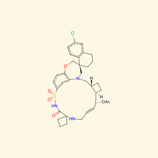 CC(=O)O[C@@H]1/C=C/CNC2(CCC2)C(=O)NS(=O)(=O)c2ccc3c(c2)N(C[C@@H]2CC[C@H]21)C[C@@]1(CCCc2cc(Cl)ccc21)CO3